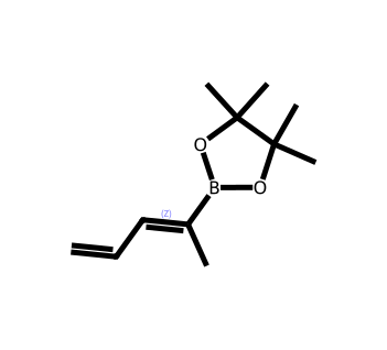 C=C/C=C(\C)B1OC(C)(C)C(C)(C)O1